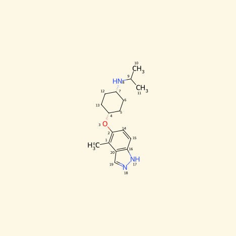 Cc1c(O[C@H]2CC[C@@H](NC(C)C)CC2)ccc2[nH]ncc12